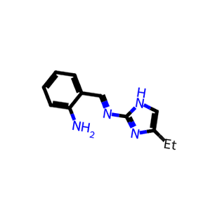 CCc1c[nH]c(N=Cc2ccccc2N)n1